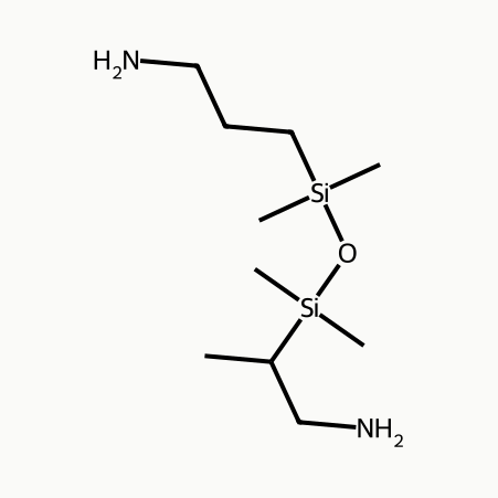 CC(CN)[Si](C)(C)O[Si](C)(C)CCCN